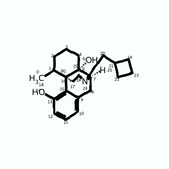 CC1CCC[C@@]2(O)[C@H]3Cc4cccc(O)c4[C@@]12CCN3CC1CCC1